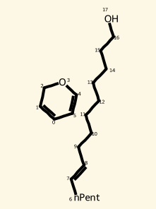 C1=CCOC=C1.CCCCCC=CCCCCCCCCO